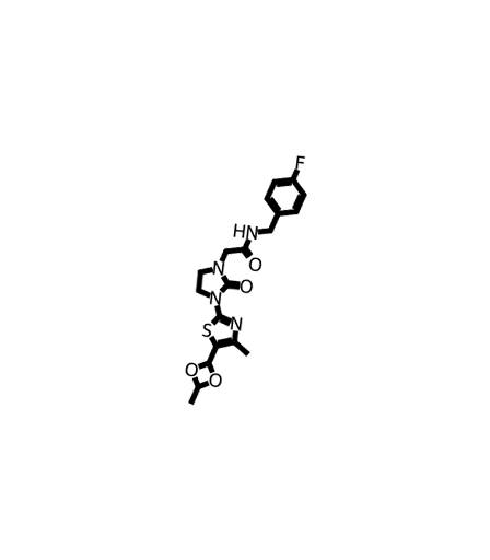 Cc1nc(N2CCN(CC(=O)NCc3ccc(F)cc3)C2=O)sc1C1OC(C)O1